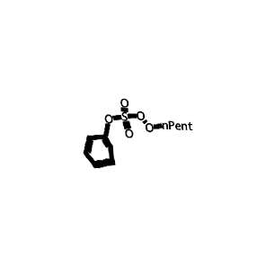 CCCCCOOS(=O)(=O)Oc1ccccc1